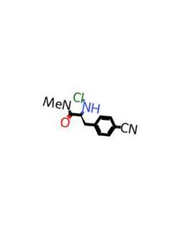 CNC(=O)[C@H](Cc1ccc(C#N)cc1)NCl